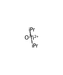 C[CH](C)[Ti+2][CH](C)C.[O-2]